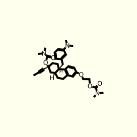 CC#C[C@@]1(OC(=O)N(C)C)CC[C@]2(Cc3cccc(N(C)C)c3)c3ccc(OCCOC(=O)N(C)C)cc3CC[C@H]2C1